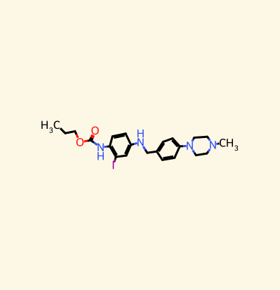 CCCOC(=O)Nc1ccc(NCc2ccc(N3CCN(C)CC3)cc2)cc1I